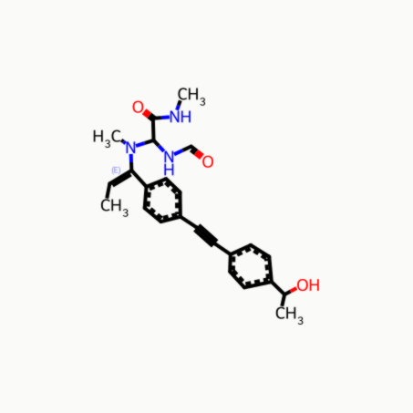 C/C=C(\c1ccc(C#Cc2ccc(C(C)O)cc2)cc1)N(C)C(NC=O)C(=O)NC